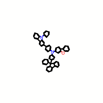 c1ccc(-n2c3ccccc3c3ccc(-c4ccc(N(c5ccc(C6(c7ccccc7)c7ccccc7-c7ccccc76)cc5)c5ccc6c(c5)oc5ccccc56)cc4)cc32)cc1